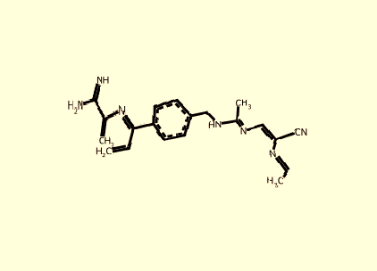 C=C/C(=N\C(=C)C(=N)N)c1ccc(CN/C(C)=N/C=C(C#N)\N=C\C)cc1